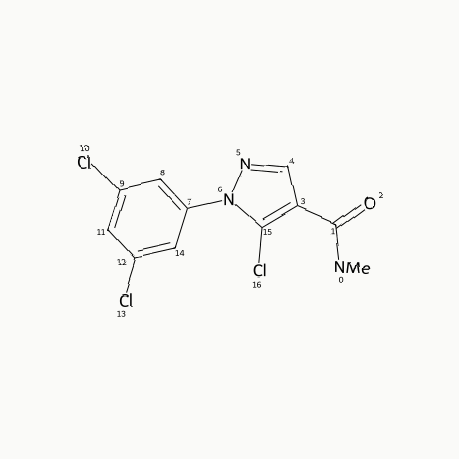 CNC(=O)c1cnn(-c2cc(Cl)cc(Cl)c2)c1Cl